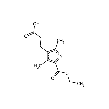 CCOC(=O)c1[nH]c(C)c(CCC(=O)O)c1C